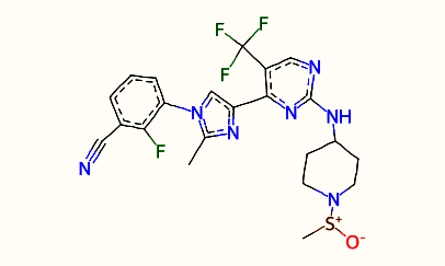 Cc1nc(-c2nc(NC3CCN([S+](C)[O-])CC3)ncc2C(F)(F)F)cn1-c1cccc(C#N)c1F